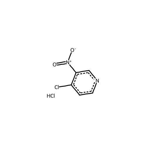 Cl.O=[N+]([O-])c1cnccc1Cl